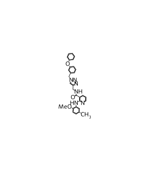 COc1ccc(C)cc1Nc1ncccc1C(=O)NCc1cn(Cc2cccc(Oc3ccccc3)c2)nn1